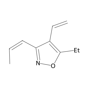 C=Cc1c(/C=C\C)noc1CC